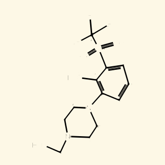 CCN1CCN(c2cccc(S(=O)(=O)C(F)(F)F)c2C)CC1